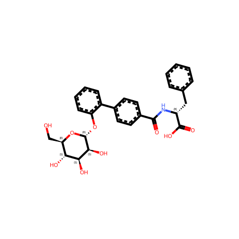 O=C(N[C@H](Cc1ccccc1)C(=O)O)c1ccc(-c2ccccc2O[C@H]2O[C@H](CO)[C@@H](O)[C@H](O)[C@@H]2O)cc1